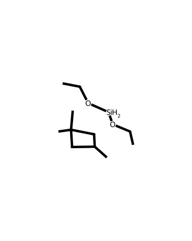 CC1CC(C)(C)C1.CCO[SiH2]OCC